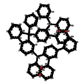 c1ccc(-c2ccc(N(c3ccccc3)c3ccc4c(c3)C(c3ccccc3)(c3ccc(-c5ccccc5)c(N(c5ccccc5)c5ccccc5)c3)c3ccccc3-4)c(-c3ccccc3)c2)cc1